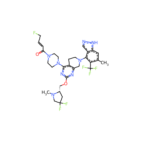 Cc1cc2[nH]ncc2c(N2CCc3c(nc(OC[C@@H]4CC(F)(F)CN4C)nc3N3CCN(C(=O)/C=C/CF)CC3)C2)c1C(F)(F)F